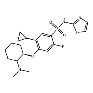 CN(C)C1CCCC[C@H]1Oc1cc(F)c(S(=O)(=O)Nc2nccs2)cc1C1CC1